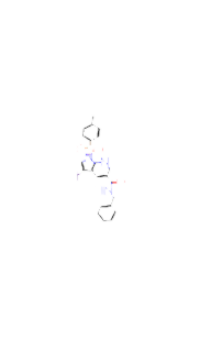 Cc1ccc(S(=O)(=O)n2cc(I)c3cc(C(=O)NCc4ccccc4)cnc32)cc1